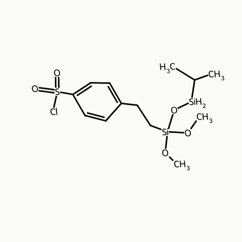 CO[Si](CCc1ccc(S(=O)(=O)Cl)cc1)(OC)O[SiH2]C(C)C